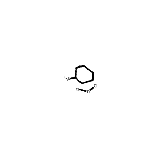 NC1CCCCC1.[Cl][Ti][Cl]